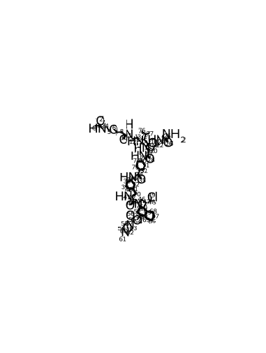 CC(=O)NCCOCCC(=O)NCCN[C@H](C(=O)N[C@@H](CCCNC(N)=O)C(=O)Nc1ccc(C(=O)Nc2ccc3[nH]c(C(=O)N4C[C@@H](CCl)c5c4cc(OC(=O)N4CCN(C)CC4)c4ccccc54)cc3c2)cc1)C(C)C